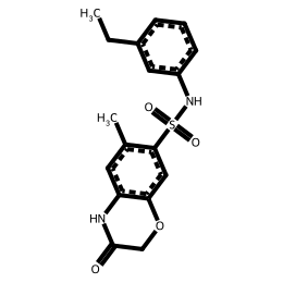 CCc1cccc(NS(=O)(=O)c2cc3c(cc2C)NC(=O)CO3)c1